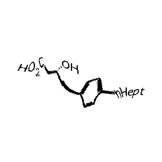 CCCCCCCc1ccc(C[C@@H](O)CC(=O)O)cc1